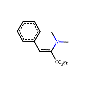 CCOC(=O)/C(=C/c1ccccc1)N(C)C